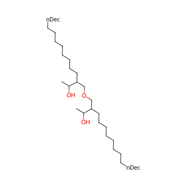 CCCCCCCCCCCCCCCCCCC(COCC(CCCCCCCCCCCCCCCCCC)C(C)O)C(C)O